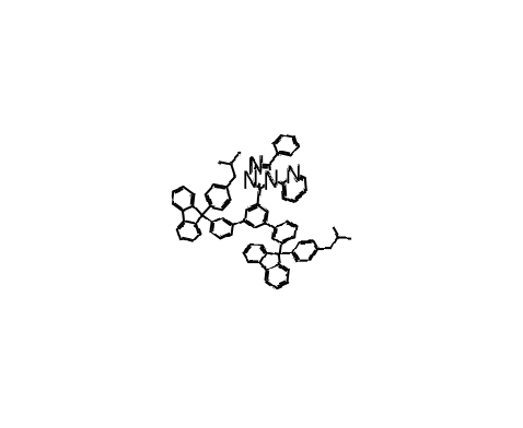 CC(C)Cc1ccc(C2(c3cccc(-c4cc(-c5cccc(C6(c7ccc(CC(C)C)cc7)c7ccccc7-c7ccccc76)c5)cc(-c5nnc(-c6ccccc6)n5-c5ccccn5)c4)c3)c3ccccc3-c3ccccc32)cc1